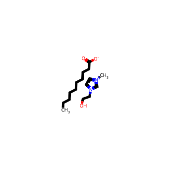 CCCCCCCCCC(=O)[O-].C[n+]1ccn(CCO)c1